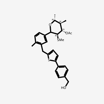 CS[C@H]1C(c2ccc(C)c(Cc3ccc(-c4ccc(CO)cc4)s3)c2)O[C@H](C)[C@@H](C)[C@@H]1OC(C)=O